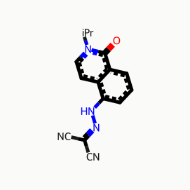 CC(C)n1ccc2c(NN=C(C#N)C#N)cccc2c1=O